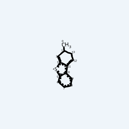 CC1C=c2sc3ccccc3c2=CC1